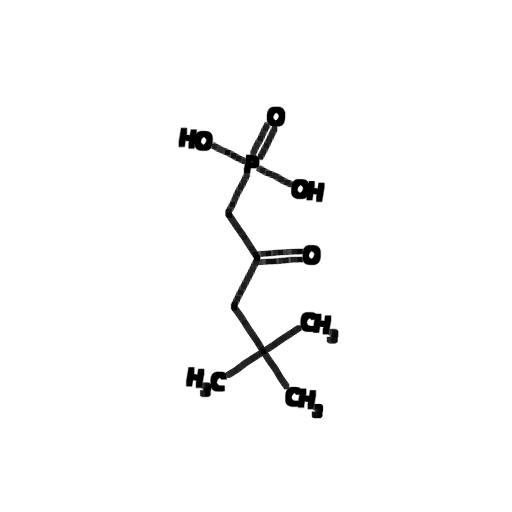 CC(C)(C)CC(=O)CP(=O)(O)O